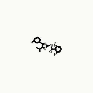 C=C(C)c1nc(NC(=O)c2c(F)cccc2F)sc1-c1cccc(C)c1